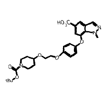 Cn1ncc2cc(C(=O)O)cc(Oc3ccc(OCCOC4CCN(C(=O)OC(C)(C)C)CC4)cc3)c21